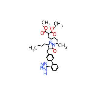 CCCCC1C(Cc2ccc(-c3ccccc3-c3nnn[nH]3)cc2)C(=O)N2C(C)CCC(CC(C(=O)OCC)C(=O)OCC)N12